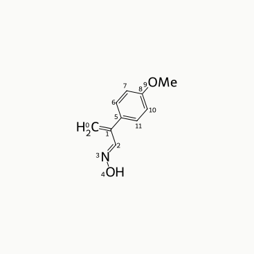 C=C(C=NO)c1ccc(OC)cc1